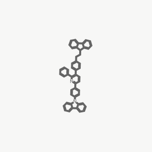 c1ccc(-c2nc(-c3ccc(-n4c5ccccc5c5ccccc54)cc3)ccc2-c2ccc(CCC3c4ccccc4-c4ccccc43)cc2)cc1